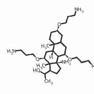 CC(O)C1CC[C@@]2(N)C3[C@H](OCCCN)CC4C[C@H](OCCCN)CCC4(C)[C@H]3C[C@H](OCCCN)C12C